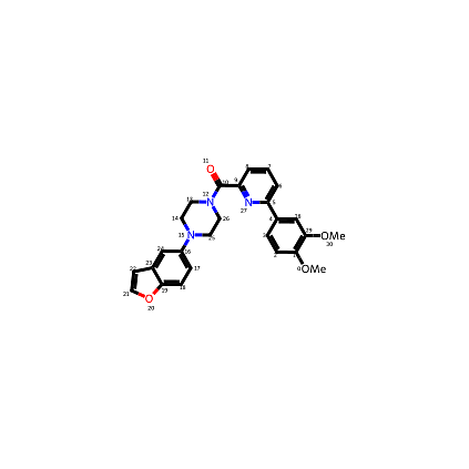 COc1ccc(-c2cccc(C(=O)N3CCN(c4ccc5occc5c4)CC3)n2)cc1OC